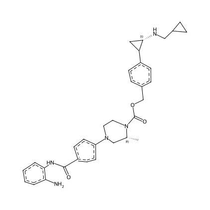 C[C@@H]1CN(c2ccc(C(=O)Nc3ccccc3N)cc2)CCN1C(=O)OCc1ccc(C2C[C@@H]2NCC2CC2)cc1